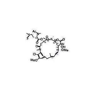 COc1cc2cc(c1Cl)N(C)C(=O)C[C@H](OC(=O)[C@H](CCS(C)=S)N(C)C(C)=O)[C@]1(C)OC1[C@H](C)[C@@H]1C[C@@](O)(NC(=O)O1)[C@H](OC)/C=C/C=C(\C)C2